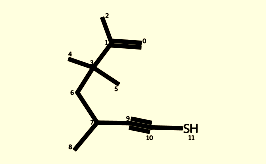 C=C(C)C(C)(C)CC(C)C#CS